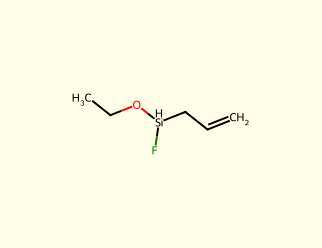 C=CC[SiH](F)OCC